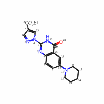 CCOC(=O)c1cnn(-c2nc3ccc(N4CCCCC4)cc3c(=O)[nH]2)c1